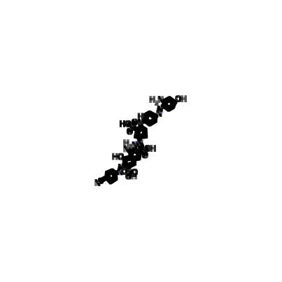 N#Cc1ccc(/N=N/c2c(S(=O)(=O)O)cc3cc(S(=O)(=O)O)c(/N=N/c4ccc(Nc5ccc(/N=N/c6ccc(O)cc6N)cc5)c(S(=O)(=O)O)c4)c(N)c3c2O)cc1